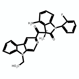 C[C@]1(C(=O)c2cc3c4ccccc4n(CC(=O)O)c3cn2)C(=O)N(c2ccccc2F)c2cccc(N)c21